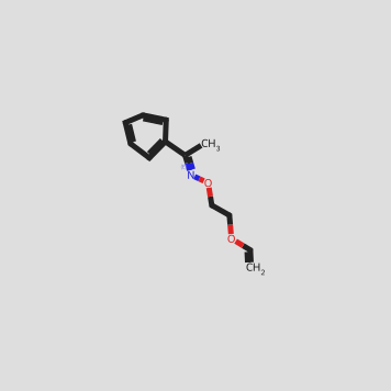 C=COCCO/N=C(\C)c1ccccc1